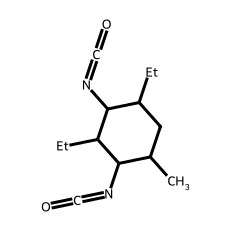 CCC1CC(C)C(N=C=O)C(CC)C1N=C=O